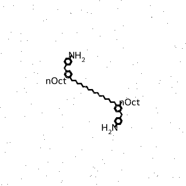 CCCCCCCCc1cc(Cc2ccc(N)cc2)ccc1CCCCCCCCCCCCCCCCc1ccc(Cc2ccc(N)cc2)cc1CCCCCCCC